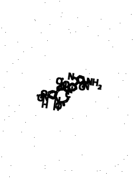 COC(=O)Nc1ccc2c(c1)NC(=O)C(C)CCC[C@H](N1CCC(c3c(C#N)ccc4c(N)noc34)=CC1=O)c1cc-2cc(OC)n1